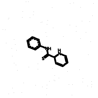 S=C(Nc1ccccc1)[C]1C=CC=CN1